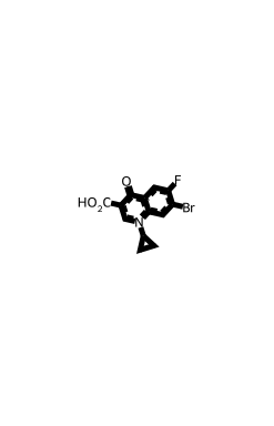 O=C(O)c1cn(C2CC2)c2cc(Br)c(F)cc2c1=O